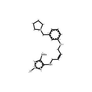 CNc1n[s+]([O-])nc1NC/C=C\COc1cccc(CN2CCCC2)c1